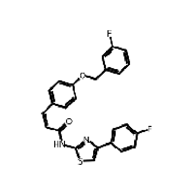 O=C(/C=C\c1ccc(OCc2cccc(F)c2)cc1)Nc1nc(-c2ccc(F)cc2)cs1